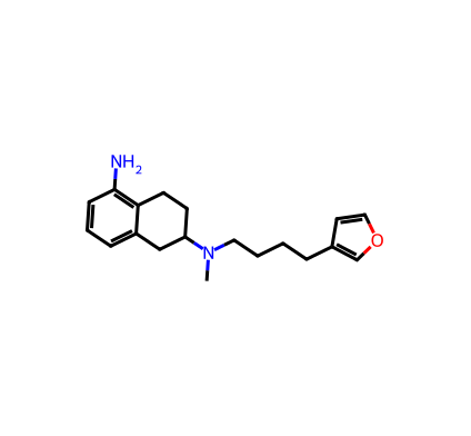 CN(CCCCc1ccoc1)C1CCc2c(N)cccc2C1